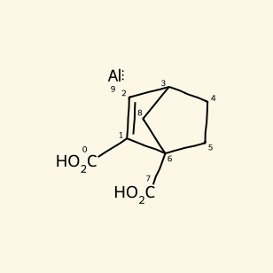 O=C(O)C1=CC2CCC1(C(=O)O)C2.[Al]